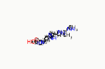 CNCCCN(C)c1ccc(-c2ccnc(Nc3cccc(CN4CCN(CC(=O)O)CC4)c3)c2)cn1